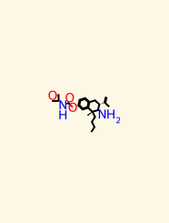 C=C(C)[C@H]1Cc2ccc(OC(=O)NC3COC3)cc2[C@@](C)(CCCC)[C@H]1N